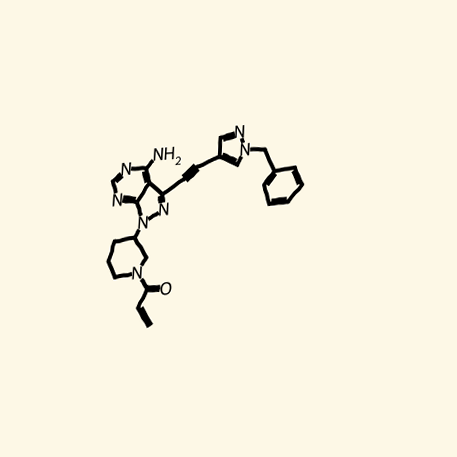 C=CC(=O)N1CCCC(n2nc(C#Cc3cnn(Cc4ccccc4)c3)c3c(N)ncnc32)C1